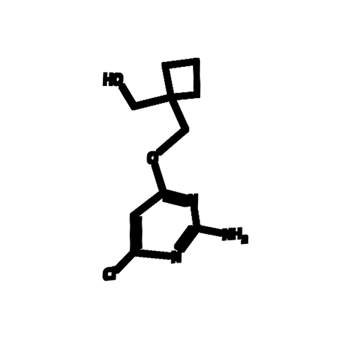 Nc1nc(Cl)cc(OCC2(CO)CCC2)n1